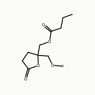 CCCC(=O)OCC1(COI)CCC(=O)O1